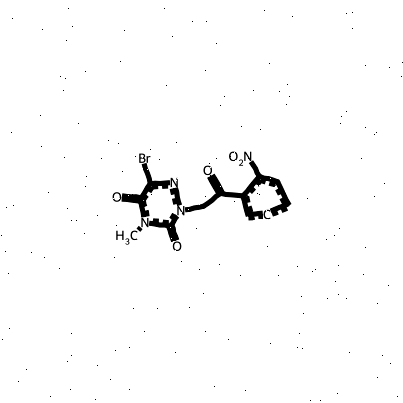 Cn1c(=O)c(Br)nn(CC(=O)c2ccccc2[N+](=O)[O-])c1=O